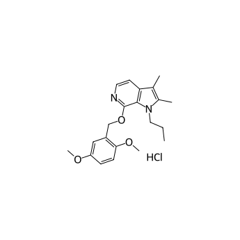 CCCn1c(C)c(C)c2ccnc(OCc3cc(OC)ccc3OC)c21.Cl